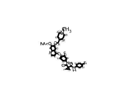 COc1cc2nccc(Oc3ccc(NC(=O)C4(C(=O)Nc5ccc(F)cc5)CC4)cc3F)c2cc1OCC1CCN(C)CC1